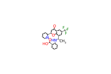 CC(Nc1ccccc1C(=O)O)c1cc(C(F)(F)F)cc2c(=O)cc(-c3ccccn3)oc12